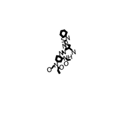 C=CC(=O)N(CCOC)c1ccc(N=Nc2nn(-c3nc4ccccc4s3)cc2C#N)c(NC(C)=O)c1